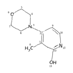 Cc1c(N2CCOCC2)ccnc1O